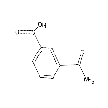 NC(=O)c1cccc(S(=O)O)c1